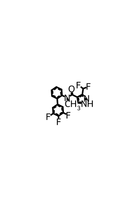 CN(C(=O)c1c[nH]nc1C(F)F)c1ccccc1-c1cc(F)c(F)c(F)c1